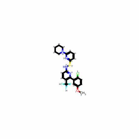 COc1ccc(Cl)c(-c2nc(NSc3cccc(N4CCCCC4)n3)ccc2C(F)(F)F)c1